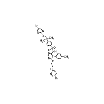 Cc1ccc(-c2c(NS(=O)(=O)c3ccc(C(C)(C)COc4ncc(Br)cn4)cc3)ncnc2OCCOc2ncc(Br)cn2)cc1